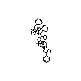 O=C(C[N+]12CCC(CC1)[C@@H](OC(=O)C(NS(=O)(=O)Cc1ccccc1)c1ccccc1)C2)c1ccccc1